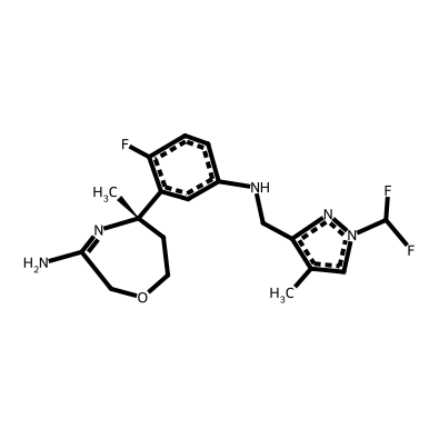 Cc1cn(C(F)F)nc1CNc1ccc(F)c([C@]2(C)CCOCC(N)=N2)c1